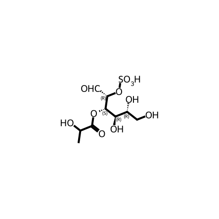 CC(O)C(=O)O[C@@H]([C@H](O)[C@H](O)CO)[C@H](C=O)OS(=O)(=O)O